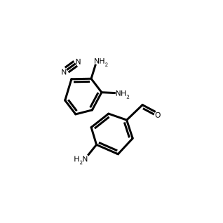 N#N.Nc1ccc(C=O)cc1.Nc1ccccc1N